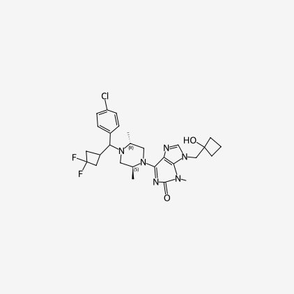 C[C@@H]1CN(c2nc(=O)n(C)c3c2ncn3CC2(O)CCC2)[C@@H](C)CN1C(c1ccc(Cl)cc1)C1CC(F)(F)C1